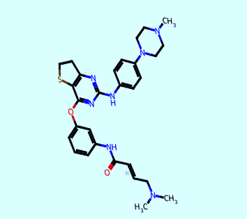 CN(C)C/C=C/C(=O)Nc1cccc(Oc2nc(Nc3ccc(N4CCN(C)CC4)cc3)nc3c2SCC3)c1